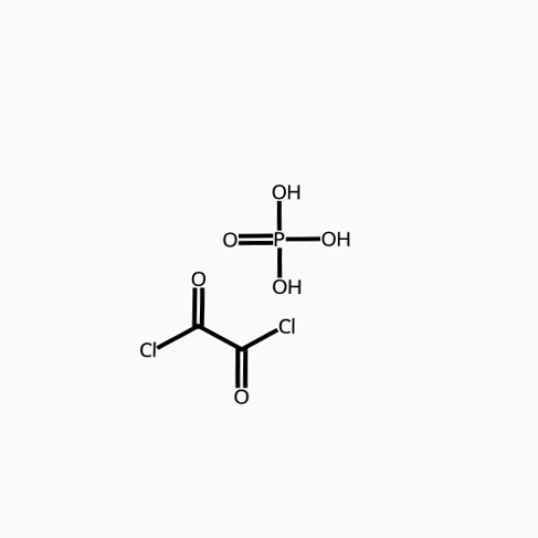 O=C(Cl)C(=O)Cl.O=P(O)(O)O